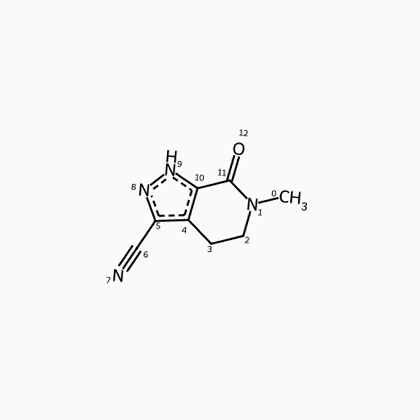 CN1CCc2c(C#N)n[nH]c2C1=O